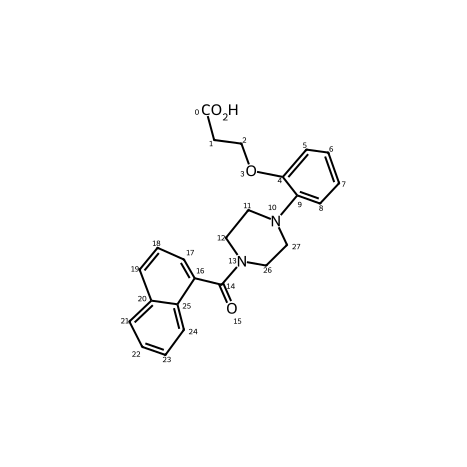 O=C(O)CCOc1ccccc1N1CCN(C(=O)c2cccc3ccccc23)CC1